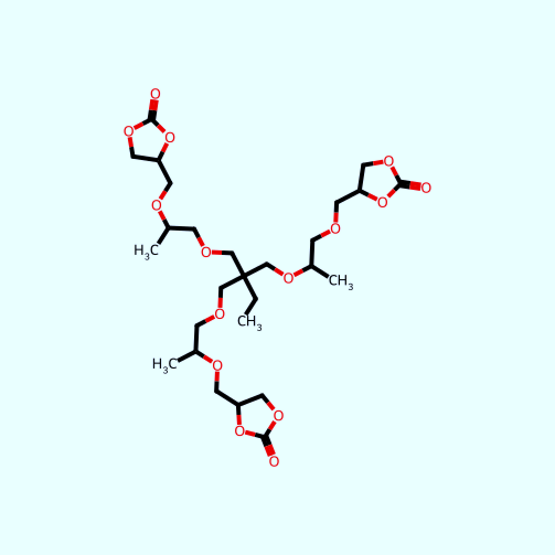 CCC(COCC(C)OCC1COC(=O)O1)(COCC(C)OCC1COC(=O)O1)COC(C)COCC1COC(=O)O1